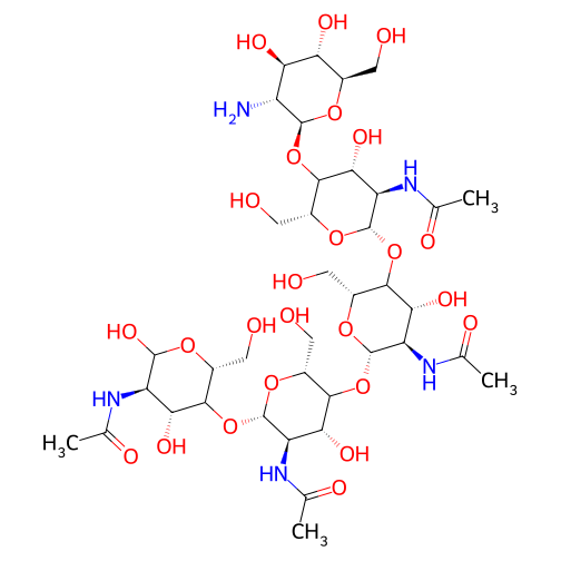 CC(=O)N[C@H]1[C@H](OC2[C@@H](CO)O[C@@H](OC3[C@@H](CO)O[C@@H](OC4[C@@H](CO)OC(O)[C@H](NC(C)=O)[C@H]4O)[C@H](NC(C)=O)[C@H]3O)[C@H](NC(C)=O)[C@H]2O)O[C@H](CO)C(O[C@@H]2O[C@H](CO)[C@@H](O)[C@H](O)[C@H]2N)[C@@H]1O